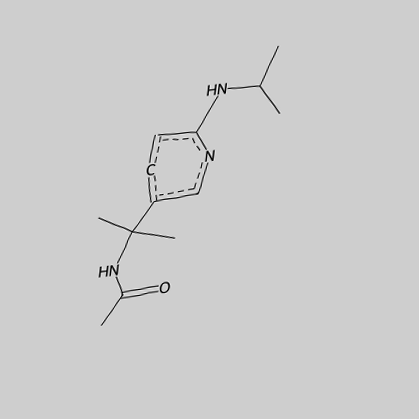 CC(=O)NC(C)(C)c1ccc(NC(C)C)nc1